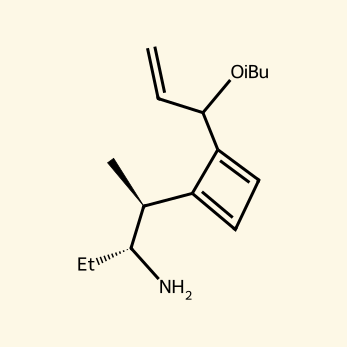 C=CC(OCC(C)C)C1=CC=C1[C@H](C)[C@H](N)CC